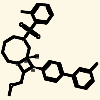 COCC1[C@@H](c2ccc(-c3cccc(C)c3)cc2)[C@@H]2CN(S(=O)(=O)c3ccccc3C)CCCCN12